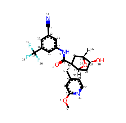 COc1cc(C[C@]2(C(=O)Nc3cc(C#N)cc(C(F)(F)F)c3)C[C@H]3O[C@@H]2C[C@@H]3O)ccn1